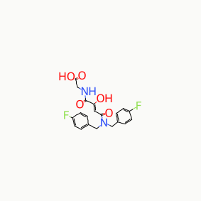 O=C(O)CNC(=O)C(O)=CC(=O)N(Cc1ccc(F)cc1)Cc1ccc(F)cc1